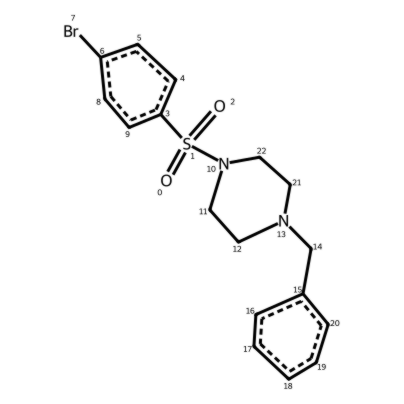 O=S(=O)(c1ccc(Br)cc1)N1CCN(Cc2ccccc2)CC1